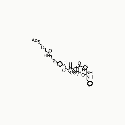 CC(=O)SCCOCCC(=O)NCCCOc1ccc(NC(=O)[C@H](CC(=O)O)NC(=O)CNC(=O)c2csc(NC(=O)NCc3ccccc3)n2)cc1